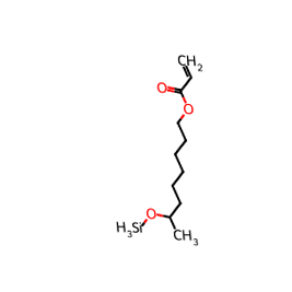 C=CC(=O)OCCCCCCC(C)O[SiH3]